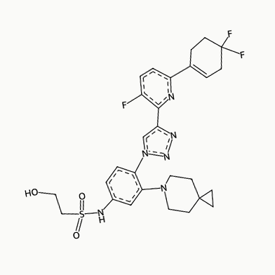 O=S(=O)(CCO)Nc1ccc(-n2cc(-c3nc(C4=CCC(F)(F)CC4)ccc3F)nn2)c(N2CCC3(CC2)CC3)c1